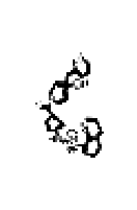 O=C(c1ccc(NS(=O)(=O)c2cccc3cccnc23)cc1)N1CCC(O)(Cc2cccnn2)CC1